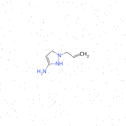 C=CCN1CC=C(N)N1